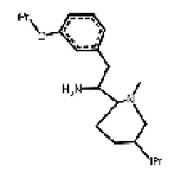 CC(C)Oc1cccc(CC(N)C2CCC(C(C)C)CN2C)c1